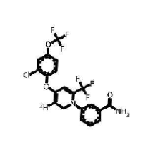 [2H]C1=C(Oc2ccc(OC(F)(F)F)cc2Cl)C=C(C(F)(F)F)N(c2cccc(C(N)=O)c2)C1